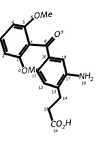 COc1cccc(OC)c1C(=O)c1ccc(CCC(=O)O)c(N)c1